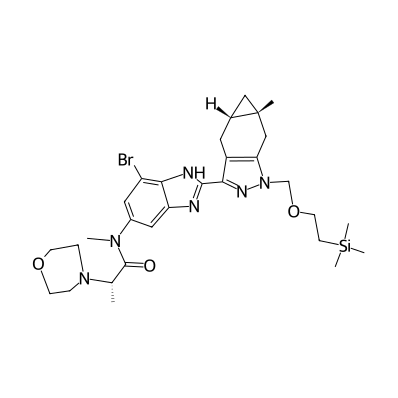 C[C@@H](C(=O)N(C)c1cc(Br)c2[nH]c(-c3nn(COCC[Si](C)(C)C)c4c3C[C@@H]3C[C@]3(C)C4)nc2c1)N1CCOCC1